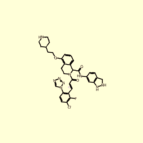 O=C(Nc1ccc2c(c1)NNC2)C1c2cccc(OCCC3CCNCC3)c2CCN1C(=O)/C=C/c1c(-n2cnnn2)ccc(Cl)c1F